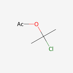 CC(=O)OC(C)(C)Cl